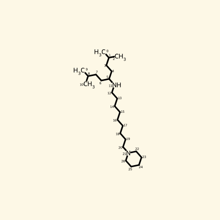 CC(C)CCC(CCC(C)C)NCCCCCCCCCN1CCCCC1